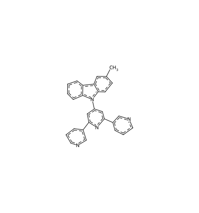 Cc1ccc2c(c1)c1ccccc1n2-c1cc(-c2cccnc2)nc(-c2cccnc2)c1